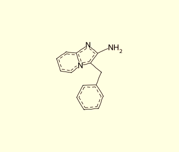 Nc1nc2ccccn2c1Cc1ccccc1